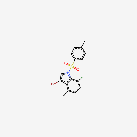 Cc1ccc(S(=O)(=O)n2cc(Br)c3c(C)ccc(Cl)c32)cc1